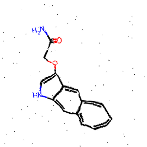 NC(=O)COc1c[nH]c2cc3ccccc3cc12